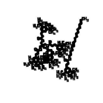 CC(C)(C)c1cc(CCC(=O)OCC(COC(=O)CCc2cc(C(C)(C)C)c(O)c(C(C)(C)C)c2)(COC(=O)CCc2cc(C(C)(C)C)c(O)c(C(C)(C)C)c2)COC(=O)CCc2cc(C(C)(C)C)c(O)c(C(C)(C)C)c2)cc(C(C)(C)C)c1O.CCCCCCCCCCCCCCCCCCOC(=O)CCc1cc(C(C)(C)C)c(O)c(C(C)(C)C)c1